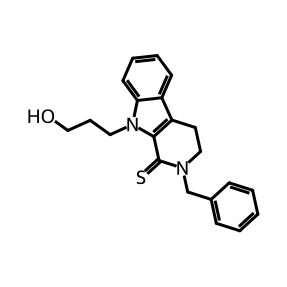 OCCCn1c2c(c3ccccc31)CCN(Cc1ccccc1)C2=S